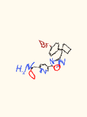 NC(=O)c1ccc(-c2nc(C3(c4ccc(Br)cc4)CCC3)no2)cn1